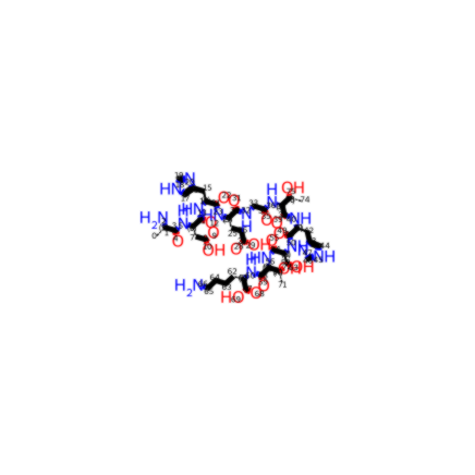 C[C@H](N)C(=O)N[C@@H](CC(=O)O)C(=O)N[C@@H](Cc1c[nH]cn1)C(=O)N[C@@H](CCC(=O)O)C(=O)NCC(=O)N[C@H](C(=O)N[C@@H](Cc1c[nH]cn1)C(=O)N[C@@H](CO)C(=O)N[C@H](C(=O)N[C@@H](CCCCN)C(=O)O)[C@@H](C)O)[C@@H](C)O